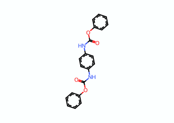 O=C(Nc1ccc(NC(=O)Oc2ccccc2)cc1)Oc1ccccc1